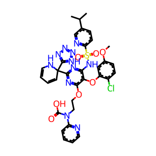 COc1ccc(Cl)c(Oc2c(NS(=O)(=O)c3ccc(C(C)C)cn3)nc(C3(c4nnn[nH]4)C=CC=CN3)nc2OCCN(C(=O)O)c2ccccn2)c1